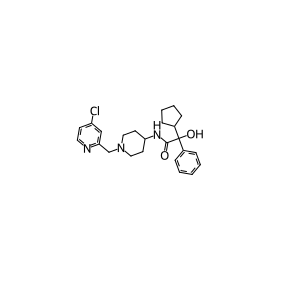 O=C(NC1CCN(Cc2cc(Cl)ccn2)CC1)C(O)(c1ccccc1)C1CCCC1